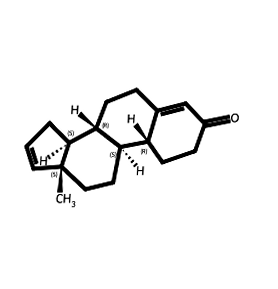 C[C@@]12C=CC[C@H]1[C@@H]1CCC3=CC(=O)CC[C@@H]3[C@H]1CC2